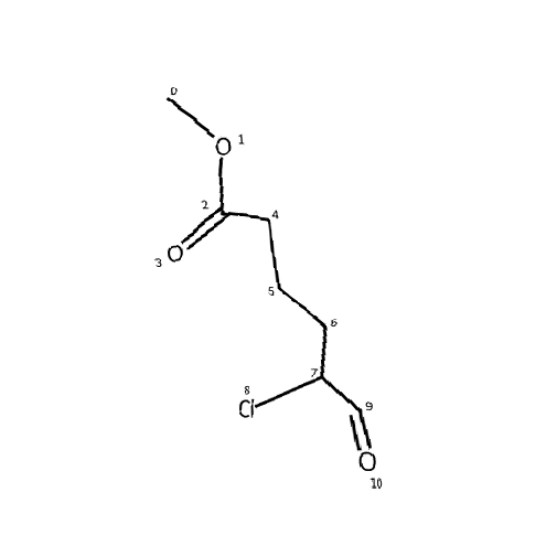 COC(=O)CCCC(Cl)C=O